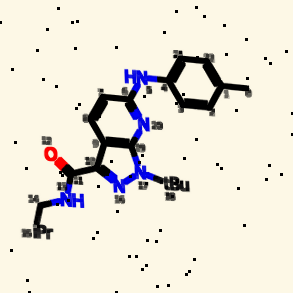 Cc1ccc(Nc2ccc3c(C(=O)NCC(C)C)nn(C(C)(C)C)c3n2)cc1